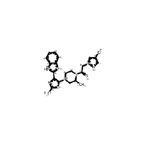 CC1CN(c2sc(C(F)(F)F)nc2-c2nc3ccccc3[nH]2)CCN1C(=O)Cn1cc(Cl)cn1